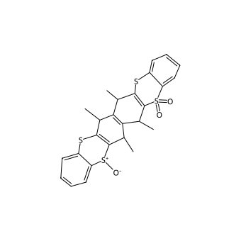 CC1C2=C(C(C)C3=C1C(C)C1=C(C3C)S(=O)(=O)c3ccccc3S1)[S+]([O-])c1ccccc1S2